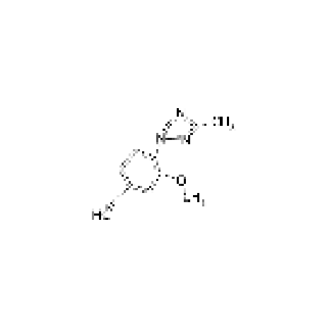 C#Cc1ccc(-n2cnc(C)n2)c(OC)c1